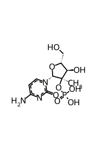 C[C@@]1(OP(=O)(O)O)[C@H](O)[C@@H](CO)O[C@H]1n1ccc(N)nc1=O